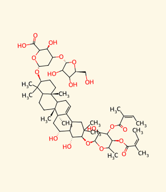 C/C=C(/C)C(=O)OC1C(O)[C@H](O[C@H]2[C@H](O)C3C(CC2(C)C)C2=CCC4[C@@]5(C)CC[C@H](O[C@H]6CC(O[C@@H]7O[C@@H](CO)C(O)C7O)[C@H](O)C(C(=O)O)O6)C(C)(C)C5CC[C@@]4(C)[C@]2(C)C[C@H]3O)OC(C)[C@@H]1OC(=O)/C(C)=C\C